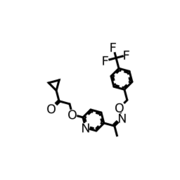 CC(=NOCc1ccc(C(F)(F)F)cc1)c1ccc(OCC(=O)C2CC2)nc1